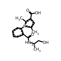 Cc1cc(C(=O)O)c(C)n1-c1ccccc1C(=O)N[C@H](C)CO